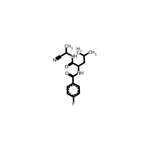 CC(C)CC(NC(=O)c1ccc(F)cc1)C(=O)NC(C)C#N